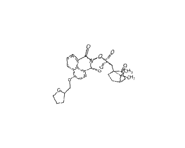 CC1(C)C2CCC1(CS(=O)(=O)ON1C(=O)c3cccc4c(OCC5CCCO5)ccc(c34)C1=O)C(=O)C2